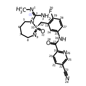 C/N=C(/N)N1CCCCN=S1(=O)Cc1cc(NC(=O)c2ccc(C#N)cn2)ccc1F